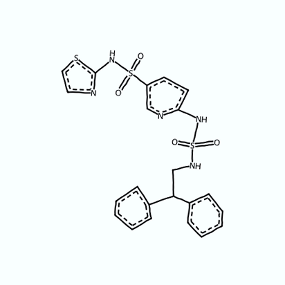 O=S(=O)(NCC(c1ccccc1)c1ccccc1)Nc1ccc(S(=O)(=O)Nc2nccs2)cn1